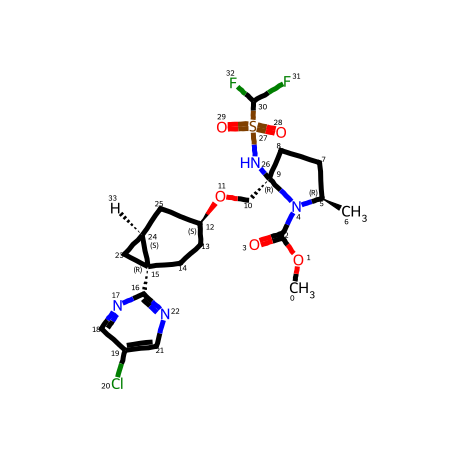 COC(=O)N1[C@H](C)CC[C@]1(CO[C@H]1CC[C@@]2(c3ncc(Cl)cn3)C[C@H]2C1)NS(=O)(=O)C(F)F